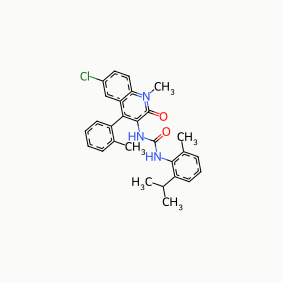 Cc1ccccc1-c1c(NC(=O)Nc2c(C)cccc2C(C)C)c(=O)n(C)c2ccc(Cl)cc12